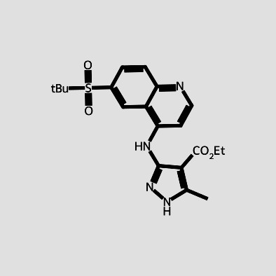 CCOC(=O)c1c(Nc2ccnc3ccc(S(=O)(=O)C(C)(C)C)cc23)n[nH]c1C